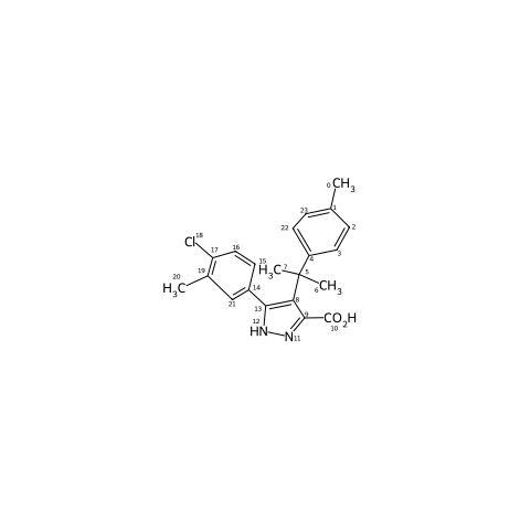 Cc1ccc(C(C)(C)c2c(C(=O)O)n[nH]c2-c2ccc(Cl)c(C)c2)cc1